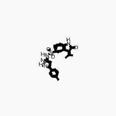 CC(C)=C1C(=O)Nc2ccc(S(=O)(=O)Nc3cc(-c4ccc(C)cc4)[nH]n3)cc21